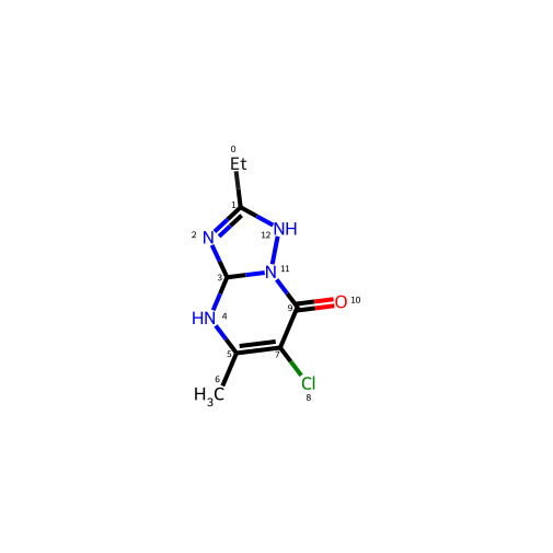 CCC1=NC2NC(C)=C(Cl)C(=O)N2N1